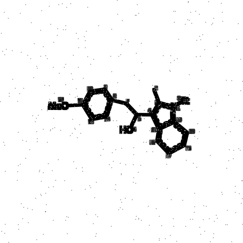 CCn1c(C)c(C(O)Cc2ccc(OC)cc2)c2ccccc21